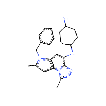 Cc1cc2c(cc(NC3CCC(N)CC3)c3nnc(C)n32)n1Cc1ccccc1